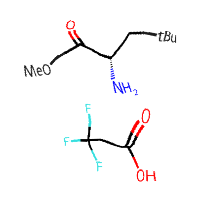 COC(=O)[C@@H](N)CC(C)(C)C.O=C(O)C(F)(F)F